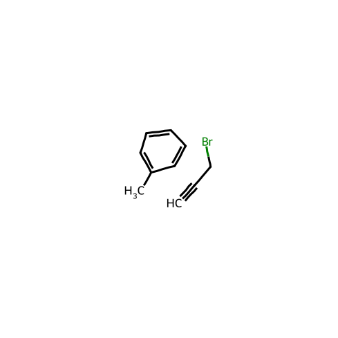 C#CCBr.Cc1ccccc1